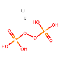 O=P(O)(O)OOP(=O)(O)O.[U].[U]